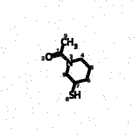 CC(=O)N1CCCC(S)C1